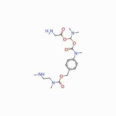 CNCCN(C)C(=O)OCc1ccc(N(C)C(=O)OC(OC(=O)CN)N(C)C)cc1